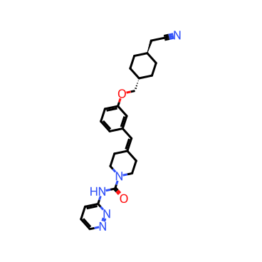 N#CC[C@H]1CC[C@H](COc2cccc(C=C3CCN(C(=O)Nc4cccnn4)CC3)c2)CC1